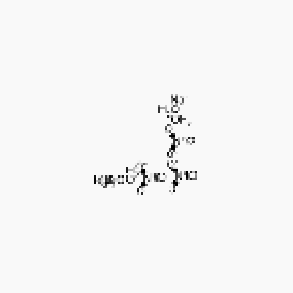 O.O.O.O.O.O=[N+]([O-])[O-].O=[N+]([O-])[O-].O=[N+]([O-])[O-].[Ca+2].[Na+]